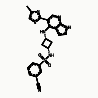 Cc1csc(-c2cnc3[nH]ccc3c2N[C@H]2C[C@@H](NS(=O)(=O)c3cccc(C#N)c3)C2)n1